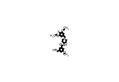 CCOc1cc(CN2CCC(NC(=O)c3cc(CO)cc(OC)c3)CC2)cc(OCC)c1F